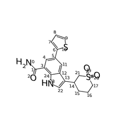 NC(=O)c1cc(-c2cccs2)cc2c(C3CCCS(=O)(=O)C3)c[nH]c12